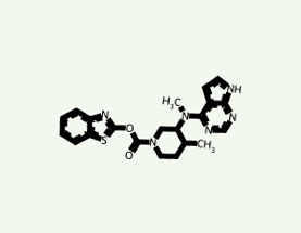 CC1CCN(C(=O)Oc2nc3ccccc3s2)CC1N(C)c1ncnc2[nH]ccc12